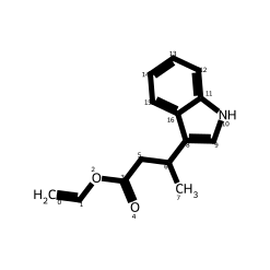 C=COC(=O)CC(C)c1c[nH]c2ccccc12